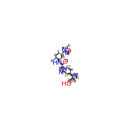 Cc1nc(-c2ccc(C)c(NC(=O)c3cnc4cc(-c5ncsc5CO)ccn34)c2)no1